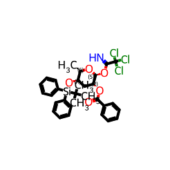 C[C@@H]1O[C@@H](OC(=N)C(Cl)(Cl)Cl)[C@H](OC(=O)c2ccccc2)C[C@H]1O[Si](c1ccccc1)(c1ccccc1)C(C)(C)C